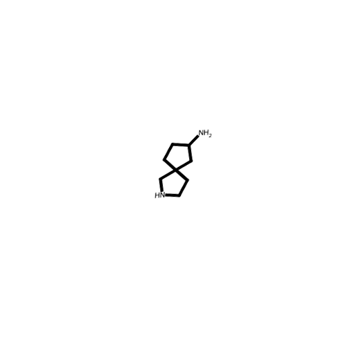 NC1CCC2(CCNC2)C1